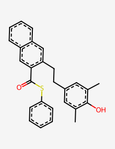 Cc1cc(CCc2cc3ccccc3cc2C(=O)Sc2ccccc2)cc(C)c1O